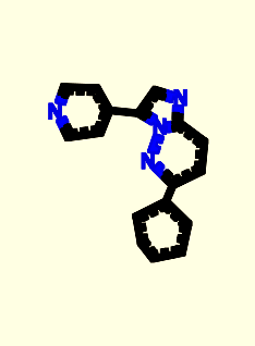 c1ccc(-c2ccc3ncc(-c4ccncc4)n3n2)cc1